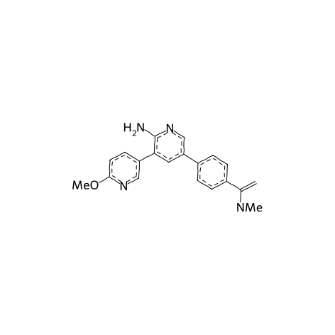 C=C(NC)c1ccc(-c2cnc(N)c(-c3ccc(OC)nc3)c2)cc1